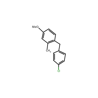 COc1ccc([CH]c2ccc(Cl)cc2)c(C)c1